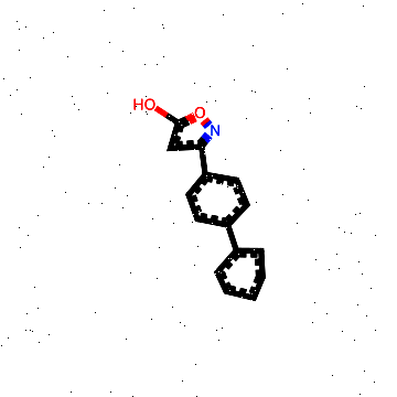 Oc1cc(-c2ccc(-c3ccccc3)cc2)no1